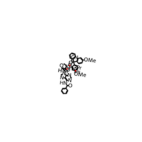 COc1ccc(C(OC[C@]23CO[C@H]([C@H](n4cnc5c(NC(=O)c6ccccc6)ncnc54)O2)[C@H]3OP(OCCC#N)N(C(C)C)C(C)C)(c2ccccc2)c2ccc(OC)cc2)cc1